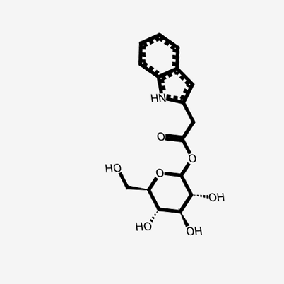 O=C(Cc1cc2ccccc2[nH]1)OC1O[C@H](CO)[C@@H](O)[C@H](O)[C@H]1O